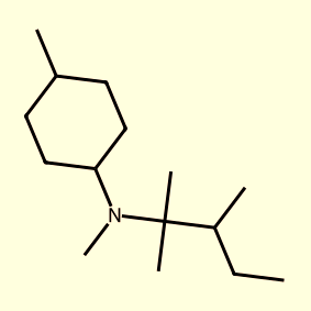 CCC(C)C(C)(C)N(C)C1CCC(C)CC1